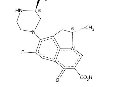 C[C@H]1CN(c2c(F)cc3c(=O)c(C(=O)O)cn4c3c2C[C@@H]4C)CCN1